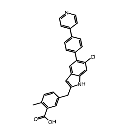 Cc1ccc(Cc2cc3cc(-c4ccc(-c5ccncc5)cc4)c(Cl)cc3[nH]2)cc1C(=O)O